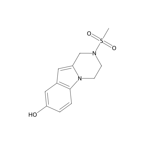 CS(=O)(=O)N1CCn2c(cc3cc(O)ccc32)C1